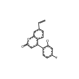 C=Cc1ccc2c(-c3ccc(F)cc3Cl)cc(=O)oc2c1